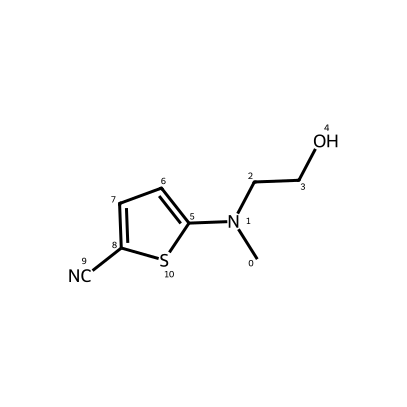 CN(CCO)c1ccc(C#N)s1